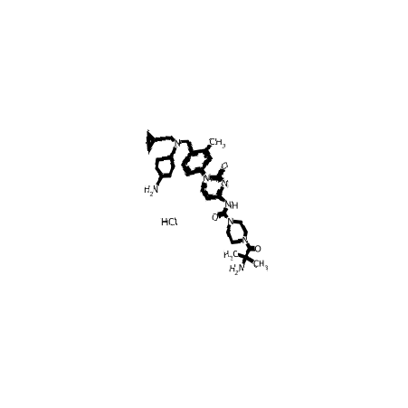 Cc1cc(-n2ccc(NC(=O)N3CCN(C(=O)C(C)(C)N)CC3)nc2=O)ccc1CN(CC1CC1)C1CCC(N)CC1.Cl